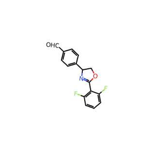 O=Cc1ccc(C2COC(c3c(F)cccc3F)=N2)cc1